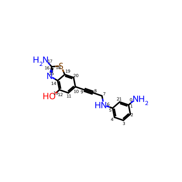 Nc1cccc(NCC#Cc2cc(O)c3nc(N)sc3c2)c1